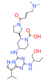 CCC(CO)Nc1nc(NC2CCN(C(=O)O)[C@H](C3CCN(C(=O)/C=C/CN(C)C)C3)C2)n2ncc(C(C)C)c2n1